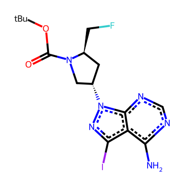 CC(C)(C)OC(=O)N1C[C@@H](n2nc(I)c3c(N)ncnc32)C[C@@H]1CF